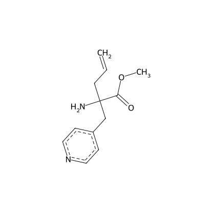 C=CCC(N)(Cc1ccncc1)C(=O)OC